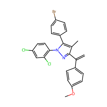 C=C(c1ccc(OC)cc1)c1nn(-c2ccc(Cl)cc2Cl)c(-c2ccc(Br)cc2)c1C